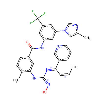 C\C=C/C(=N\C(=N\O)Nc1cc(C(=O)Nc2cc(-n3cnc(C)c3)cc(C(F)(F)F)c2)ccc1C)c1cccnc1